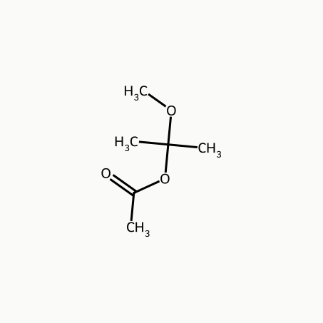 COC(C)(C)OC(C)=O